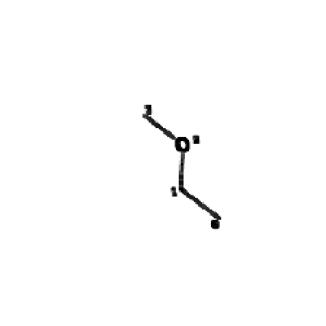 CCOC